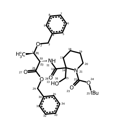 C[C@@H](OCc1ccccc1)[C@H](NC(=O)C1(CO)CCCCN1C(=O)OC(C)(C)C)C(=O)OCc1ccccc1